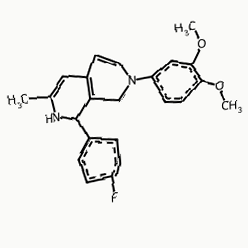 COc1ccc(N2C=CC3=C(C2)C(c2ccc(F)cc2)NC(C)=C3)cc1OC